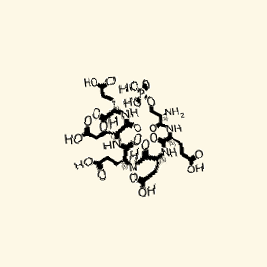 N[C@@H](COP(=O)(O)O)C(=O)N[C@@H](CCC(=O)O)C(=O)N[C@@H](CC(=O)O)C(=O)N[C@@H](CCC(=O)O)C(=O)N[C@@H](CCC(=O)O)C(=O)N[C@@H](CCC(=O)O)C(=O)O